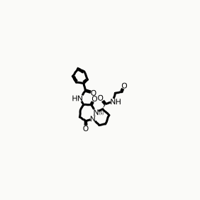 O=CCNC(=O)[C@@H]1CCCN2C(=O)CCC(NC(=O)c3ccccc3)C(=O)N12